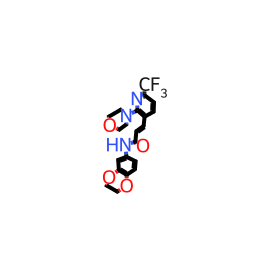 O=C(/C=C/c1ccc(C(F)(F)F)nc1N1CCOCC1)Nc1ccc2c(c1)OCCO2